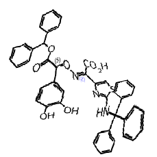 O=C(O)/C(=N\O[C@H](C(=O)OC(c1ccccc1)c1ccccc1)c1ccc(O)c(O)c1)c1csc(NC(c2ccccc2)(c2ccccc2)c2ccccc2)n1